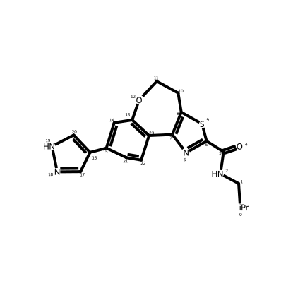 CC(C)CNC(=O)c1nc2c(s1)CCOc1cc(-c3cn[nH]c3)ccc1-2